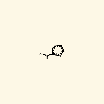 CC(=O)Nc1n[c]cs1